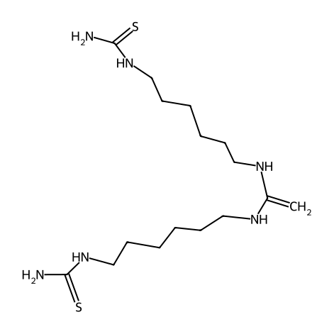 C=C(NCCCCCCNC(N)=S)NCCCCCCNC(N)=S